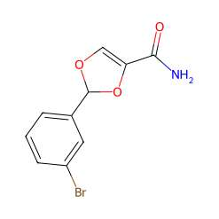 NC(=O)C1=COC(c2cccc(Br)c2)O1